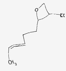 CC=CCCC1OCC1CC